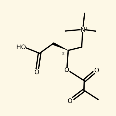 CC(=O)C(=O)O[C@@H](CC(=O)O)C[N+](C)(C)C